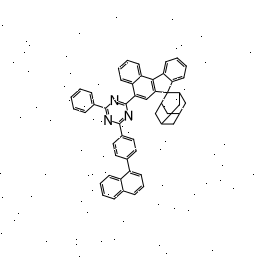 c1ccc(-c2nc(-c3ccc(-c4cccc5ccccc45)cc3)nc(-c3cc4c(c5ccccc35)-c3ccccc3C43C4CC5CC(C4)CC3C5)n2)cc1